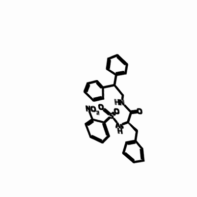 O=C(NCC(c1ccccc1)c1ccccc1)[C@@H](Cc1ccccc1)[AsH]S(=O)(=O)c1ccccc1[N+](=O)[O-]